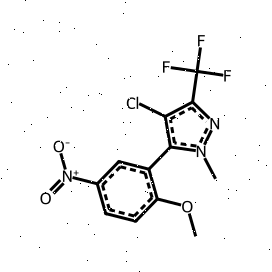 COc1ccc([N+](=O)[O-])cc1-c1c(Cl)c(C(F)(F)F)nn1C